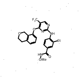 CCc1cc(C(=O)NOC)ccc1Nc1ncc(C(F)(F)F)c(Oc2cccc3c2COCC3)n1